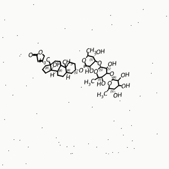 CC1O[C@H](OC2[C@@H](O)C(C)O[C@@H](OC3[C@@H](O)C(C)O[C@@H](O[C@H]4CCC5(C)C6CCC7(C)[C@@H](C8=CC(=O)OC8)CC[C@]7(O)[C@@H]6CC[C@@H]5C4)[C@H]3O)[C@H]2O)C(O)C(O)[C@@H]1O